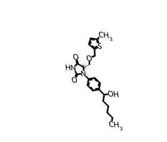 CCCCCC(O)c1ccc(N2C(=O)NC(=O)[C@@H]2COCc2ccc(C)s2)cc1